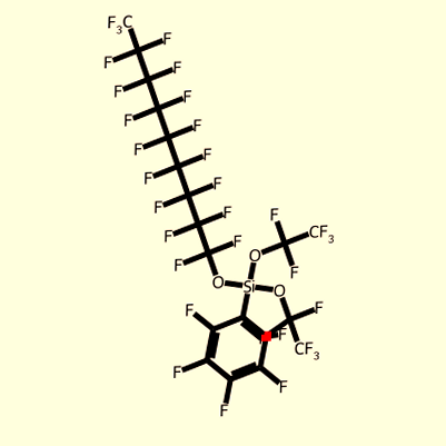 Fc1c(F)c(F)c([Si](OC(F)(F)C(F)(F)F)(OC(F)(F)C(F)(F)F)OC(F)(F)C(F)(F)C(F)(F)C(F)(F)C(F)(F)C(F)(F)C(F)(F)C(F)(F)C(F)(F)F)c(F)c1F